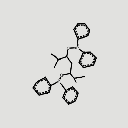 CC(C)C(CC(OP(c1ccccc1)c1ccccc1)C(C)C)OP(c1ccccc1)c1ccccc1